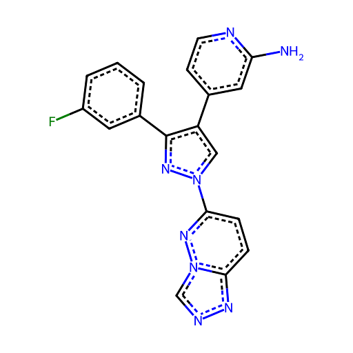 Nc1cc(-c2cn(-c3ccc4nncn4n3)nc2-c2cccc(F)c2)ccn1